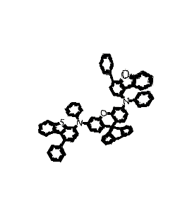 c1ccc(-c2ccc(N(c3ccccc3)c3ccc4c(c3)Oc3cc(N(c5ccccc5)c5ccc(-c6ccccc6)c6c5sc5ccccc56)ccc3C43c4ccccc4-c4ccccc43)c3c2oc2ccccc23)cc1